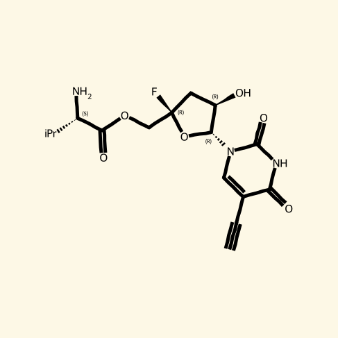 C#Cc1cn([C@@H]2O[C@](F)(COC(=O)[C@@H](N)C(C)C)C[C@H]2O)c(=O)[nH]c1=O